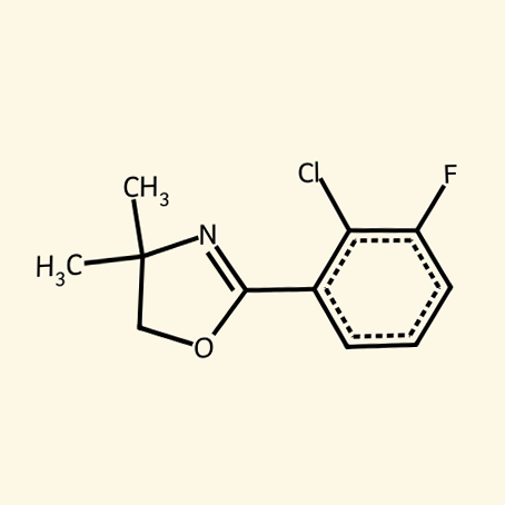 CC1(C)COC(c2cccc(F)c2Cl)=N1